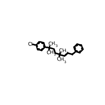 CC(C)(CCCc1ccccc1)CCC(C)(C)c1ccc(Cl)cc1